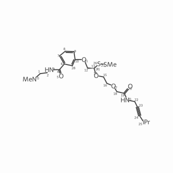 CNCCNC(=O)c1cccc(OC[C@H](OCCOCC(=O)NCC#CC(C)C)SSC)c1